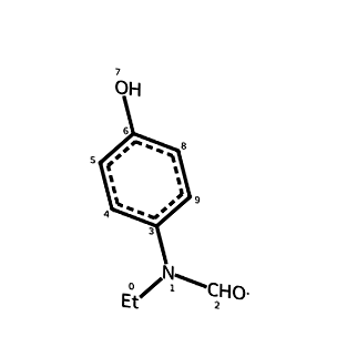 CCN([C]=O)c1ccc(O)cc1